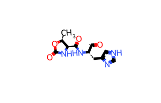 C[C@H]1OC(=O)N[C@@H]1C(=O)N[C@H]([C]=O)Cc1c[nH]cn1